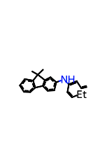 C=C/C=C(\C=C/CC)Nc1ccc2c(c1)C(C)(C)c1ccccc1-2